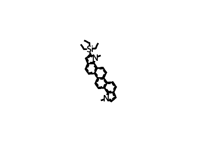 CC[Si](CC)(CC)c1cc2ccc3c4ccc5c(ccc6ccn(C)c65)c4ccc3c2n1C